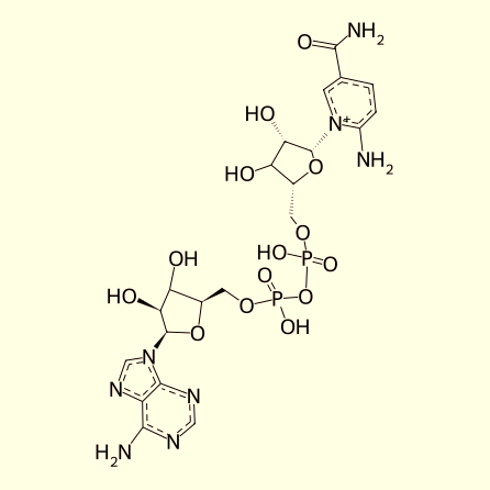 NC(=O)c1ccc(N)[n+]([C@@H]2O[C@H](COP(=O)(O)OP(=O)(O)OC[C@H]3O[C@@H](n4cnc5c(N)ncnc54)[C@@H](O)C3O)C(O)[C@@H]2O)c1